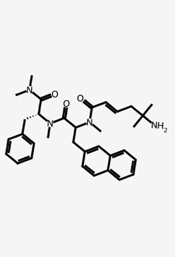 CN(C)C(=O)[C@@H](Cc1ccccc1)N(C)C(=O)C(Cc1ccc2ccccc2c1)N(C)C(=O)/C=C/CC(C)(C)N